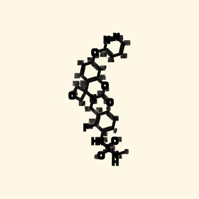 CNS(=O)(=O)Nc1cccc(CN2C(=O)Oc3cc(Oc4cccnn4)ccc3C23COC3)c1F